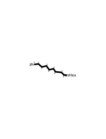 [CH2]C(C)CCCCCCCCCCCCCC